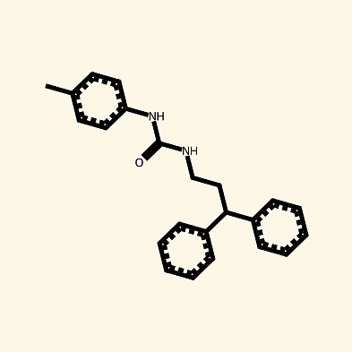 Cc1ccc(NC(=O)NCCC(c2ccccc2)c2ccccc2)cc1